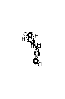 Cl.O.O=C1CCNC2C1NCc1cc(OCCN3CCN(c4cccc(Cl)c4)CC3)cn12